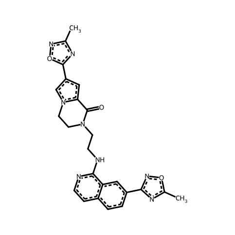 Cc1noc(-c2cc3n(c2)CCN(CCNc2nccc4ccc(-c5noc(C)n5)cc24)C3=O)n1